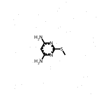 CSc1nc(N)cc(N)n1